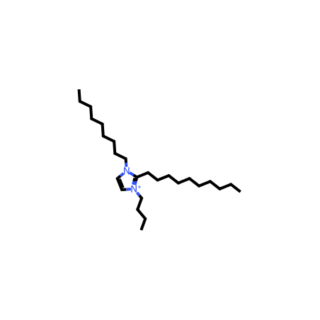 CCCCCCCCCCc1n(CCCCCCCCC)cc[n+]1CCCC